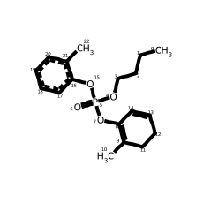 CCCCOP(=O)(OC1=C(C)CCC=C1)Oc1ccccc1C